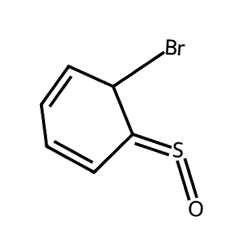 O=S=C1C=CC=CC1Br